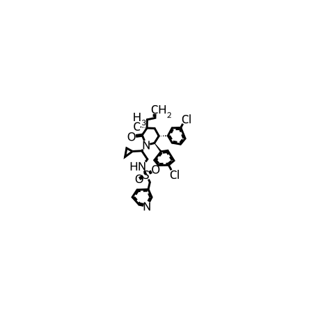 C=CC[C@@]1(C)C[C@H](c2cccc(Cl)c2)[C@@H](c2ccc(Cl)cc2)N(C(CNS(=O)(=O)Cc2cccnc2)C2CC2)C1=O